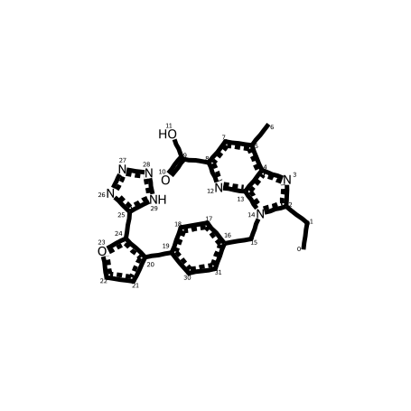 CCc1nc2c(C)cc(C(=O)O)nc2n1Cc1ccc(-c2ccoc2-c2nnn[nH]2)cc1